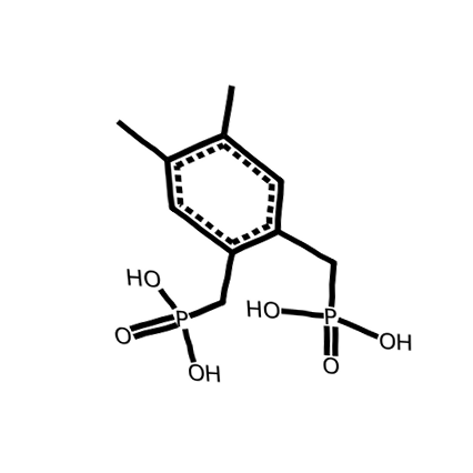 Cc1cc(CP(=O)(O)O)c(CP(=O)(O)O)cc1C